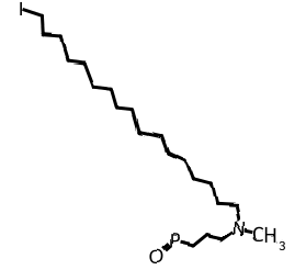 CN(CCCCCCCCCCCCCCCCCI)CCCP=O